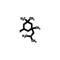 CN(C)CC1(C)CC(I)CC(C)(C)C1